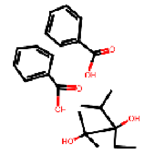 CCC(O)(C(C)C)C(C)(C)O.O=C(O)c1ccccc1.O=C(O)c1ccccc1